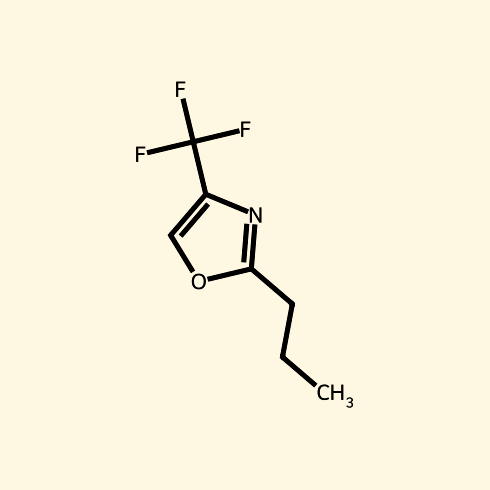 CCCc1nc(C(F)(F)F)co1